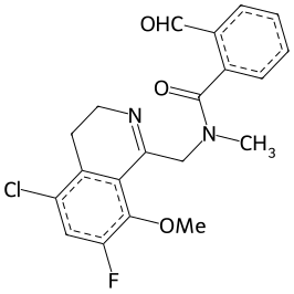 COc1c(F)cc(Cl)c2c1C(CN(C)C(=O)c1ccccc1C=O)=NCC2